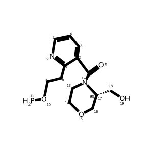 O=C(c1cccnc1CCOP)N1CCOC[C@H]1CO